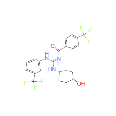 O=C(/N=C(\Nc1cccc(C(F)(F)F)c1)N[C@H]1CC[C@H](O)CC1)c1ccc(C(F)(F)F)cc1